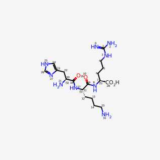 N=C(N)NCCC[C@H](NC(=O)[C@H](CCCCN)NC(=O)[C@@H](N)Cc1c[nH]cn1)C(=O)O